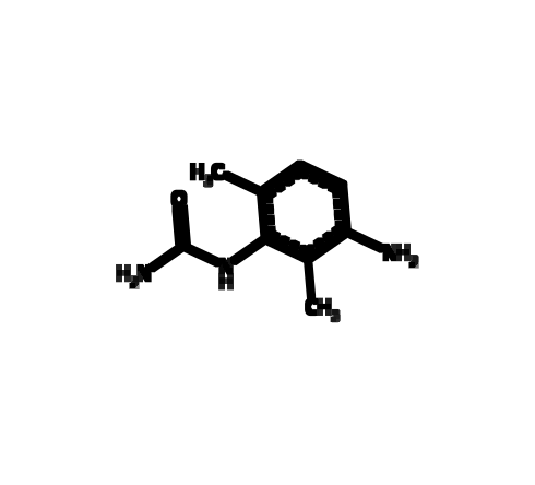 Cc1ccc(N)c(C)c1NC(N)=O